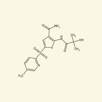 Cc1ccc(S(=O)(=O)c2cc(C(N)=O)c(NC(=O)C(C)(C)O)s2)nc1